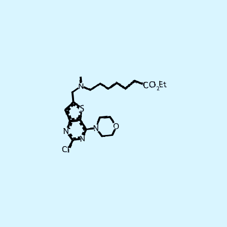 CCOC(=O)CCCCCCN(C)Cc1cc2nc(Cl)nc(N3CCOCC3)c2s1